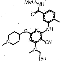 CONC(=O)c1ccc(C)c(Nc2nc(OC3CCN(C)CC3)nc(N(C)CC(C)(C)C)c2C#N)c1